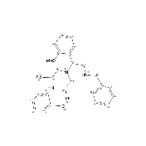 COc1ccccc1C(CNCc1ccccc1)N1CC(C(F)(F)F)N(c2ccccc2Cl)C(C(F)(F)F)C1